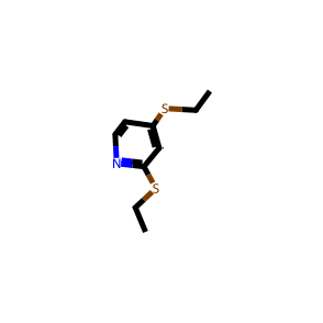 CCSc1[c]c(SCC)ncc1